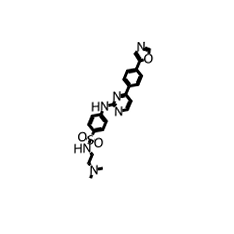 CN(C)CCNS(=O)(=O)c1ccc(Nc2nccc(-c3ccc(-c4cnco4)cc3)n2)cc1